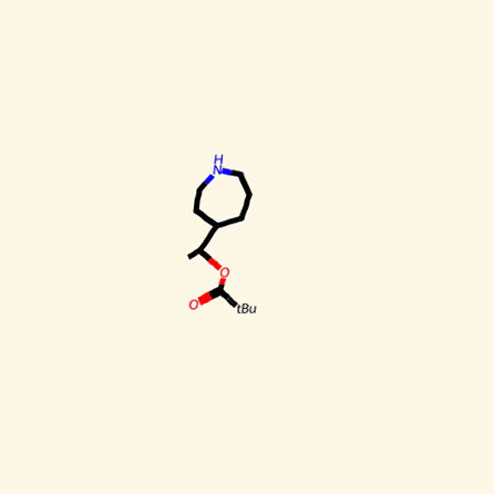 CC(OC(=O)C(C)(C)C)C1CCCNCC1